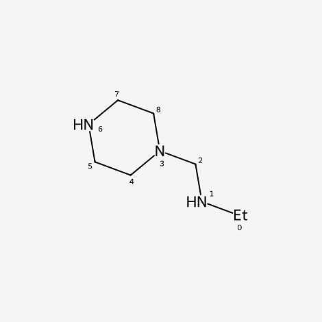 CCNCN1CCNCC1